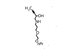 CC#CC(O)CNCCCOCCOCCC